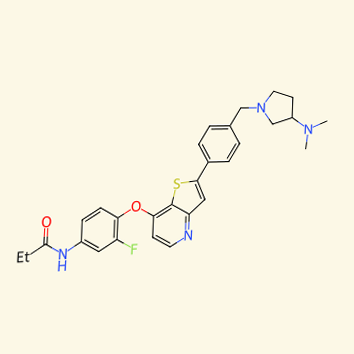 CCC(=O)Nc1ccc(Oc2ccnc3cc(-c4ccc(CN5CCC(N(C)C)C5)cc4)sc23)c(F)c1